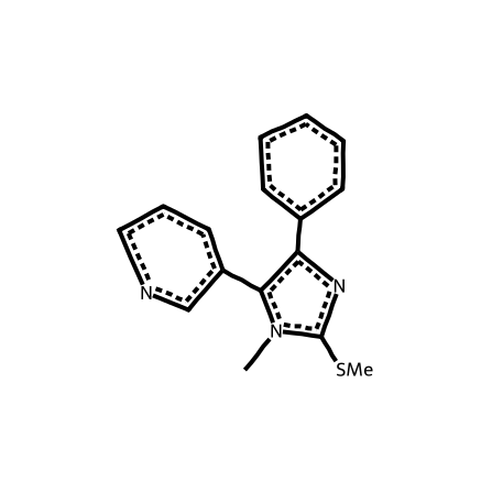 CSc1nc(-c2ccccc2)c(-c2cccnc2)n1C